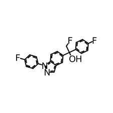 OC(CF)(c1ccc(F)cc1)c1ccc2c(cnn2-c2ccc(F)cc2)c1